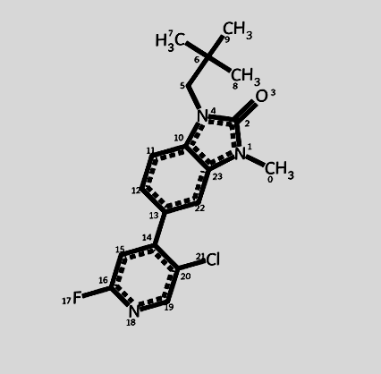 Cn1c(=O)n(CC(C)(C)C)c2ccc(-c3cc(F)ncc3Cl)cc21